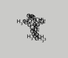 COC(=O)c1cc(O[C@H]2CC[C@]3(CC2)C(=O)N(C(=O)OC(C)(C)C)CCN3C(=O)OCc2ccccc2)c(OC)cc1[N+](=O)[O-]